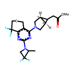 COC(=O)CC1[C@H]2CN(c3nc(N4CC(F)(F)C4C)nc4c3CCCC4(F)F)C[C@@H]12